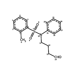 Cc1ccccc1S(=O)(=O)N(CCCC=O)c1ccccn1